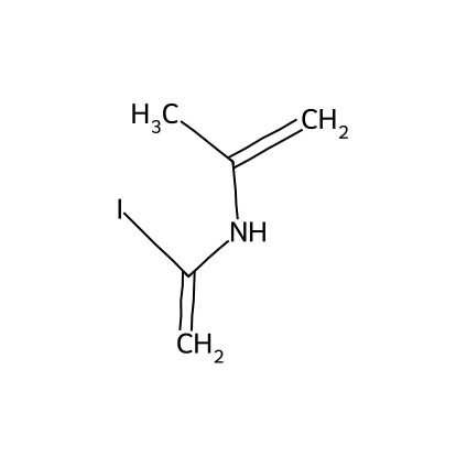 C=C(C)NC(=C)I